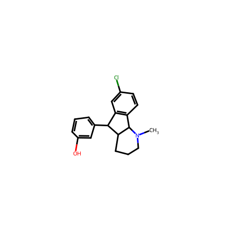 CN1CCCC2C(c3cccc(O)c3)c3cc(Cl)ccc3C21